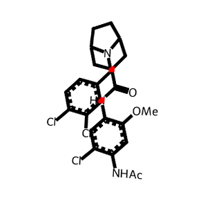 COc1cc(NC(C)=O)c(Cl)cc1NC(=O)C1CC2CCC(C1)N2Cc1ccc(Cl)c(Cl)c1